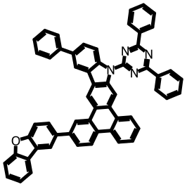 c1ccc(-c2ccc3c(c2)c2cc4c5cc(-c6ccc7oc8ccccc8c7c6)ccc5c5ccccc5c4cc2n3-c2nc(-c3ccccc3)nc(-c3ccccc3)n2)cc1